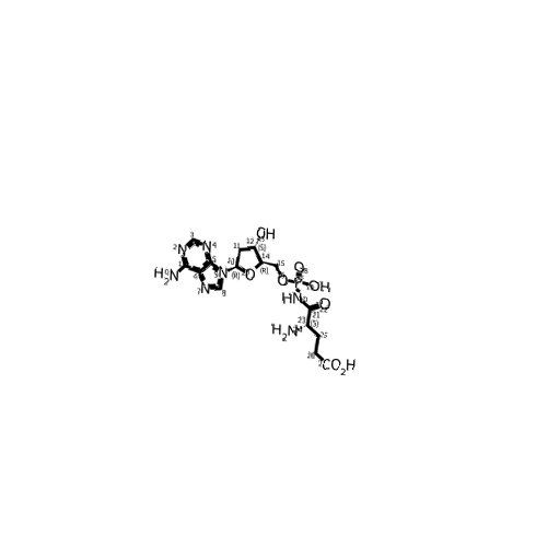 Nc1ncnc2c1ncn2[C@H]1C[C@H](O)[C@@H](COP(=O)(O)NC(=O)[C@@H](N)CCC(=O)O)O1